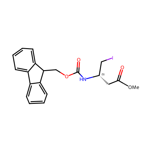 COC(=O)C[C@@H](CI)NC(=O)OCC1c2ccccc2-c2ccccc21